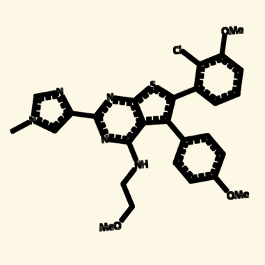 COCCNc1nc(-c2cn(C)cn2)nc2sc(-c3cccc(OC)c3Cl)c(-c3ccc(OC)cc3)c12